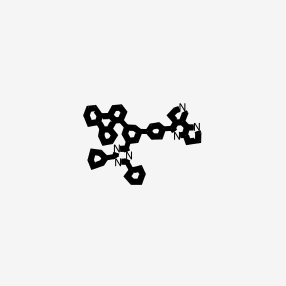 c1ccc(-c2nc(-c3ccccc3)nc(-c3cc(-c4ccc(-c5nc6cccnc6c6cnccc56)cc4)cc(-c4cccc5c6ccccc6c6ccccc6c45)c3)n2)cc1